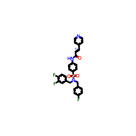 O=C(/C=C/c1ccncc1)Nc1ccc(S(=O)(=O)N(Cc2ccc(F)cc2)Cc2ccc(F)c(F)c2)cc1